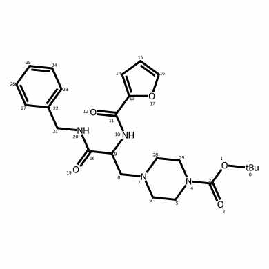 CC(C)(C)OC(=O)N1CCN(CC(NC(=O)c2ccco2)C(=O)NCc2ccccc2)CC1